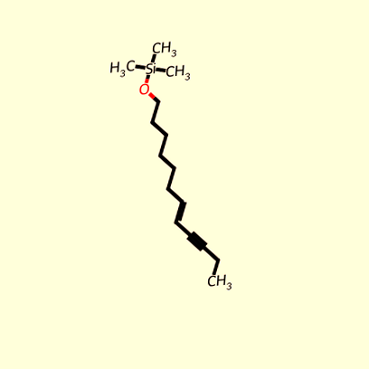 CCC#C/C=C/CCCCCCO[Si](C)(C)C